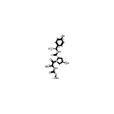 C[C@H](NC(=O)[C@@H]1C[C@@H](O)CN1C(=O)C(NC(=O)OC(C)(C)C)C(C)(C)C)c1ccc(Br)cc1